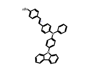 CCCCc1ccc(/C=C/c2ccc(N(c3ccccc3)c3ccc(-n4c5ccccc5c5ccccc54)cc3)cc2)cc1